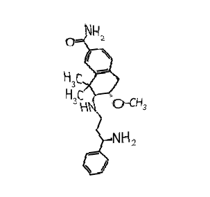 CO[C@H]1Cc2ccc(C(N)=O)cc2C(C)(C)[C@@H]1NCC[C@@H](N)c1ccccc1